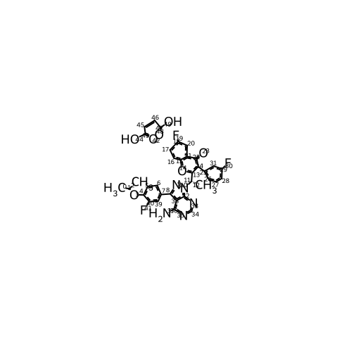 CC(C)Oc1ccc(-c2nn([C@@H](C)c3oc4ccc(F)cc4c(=O)c3-c3cccc(F)c3)c3ncnc(N)c23)cc1F.O=C(O)/C=C\C(=O)O